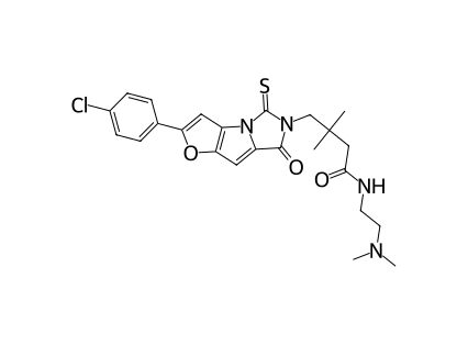 CN(C)CCNC(=O)CC(C)(C)CN1C(=O)c2cc3oc(-c4ccc(Cl)cc4)cc3n2C1=S